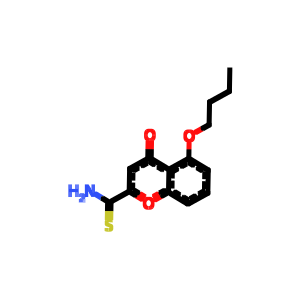 CCCCOc1cccc2oc(C(N)=S)cc(=O)c12